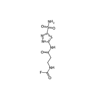 NS(=O)(=O)c1nnc(NC(=O)CCNC(=O)F)s1